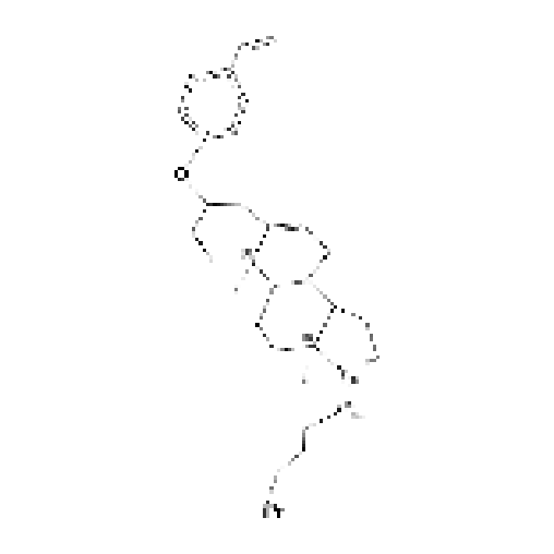 C=Cc1ccc(OC2CC[C@@]3(C)C(=CCC4C3CC[C@@]3(C)C4CC[C@@H]3[C@H](C)CCCC(C)C)C2)cc1